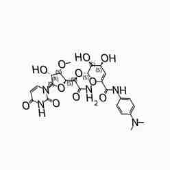 CO[C@H]1[C@@H](O)[C@H](n2ccc(=O)[nH]c2=O)O[C@@H]1[C@@H](O[C@H]1OC(C(=O)Nc2ccc(N(C)C)cc2)=C[C@H](O)[C@@H]1O)C(N)=O